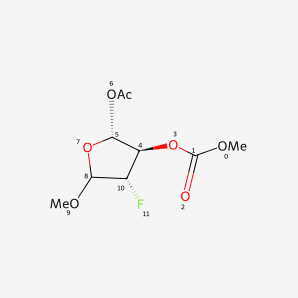 COC(=O)O[C@@H]1[C@@H](OC(C)=O)OC(OC)[C@H]1F